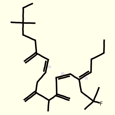 C=C(/C=C\CC(=C)C(C)C(=C)/C=C\C(=C/CCC)CC(C)(C)F)CCC(C)(C)CC